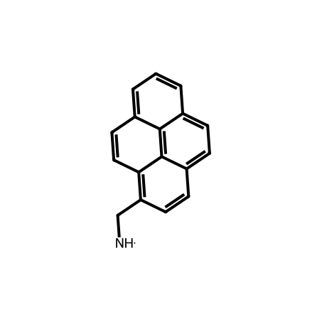 [NH]Cc1ccc2ccc3cccc4ccc1c2c34